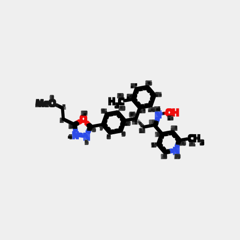 COCCc1nnc(-c2ccc([C@@H](CC(=NO)c3ccnc(C)c3)c3ccccc3C)cc2)o1